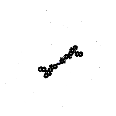 CC1(C)c2cc(/C=C/c3cnc(-c4ccc5c(c4)C(C)(C)c4cc6c(cc4-5)C(C)(C)c4ccccc4N6c4ccc5ccccc5c4)nc3)ccc2-c2cc3c(cc21)N(c1ccc2ccccc2c1)c1ccccc1C3(C)C